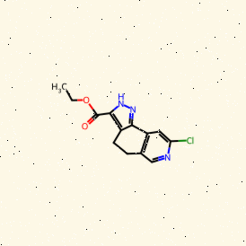 CCOC(=O)c1[nH]nc2c1CCc1cnc(Cl)cc1-2